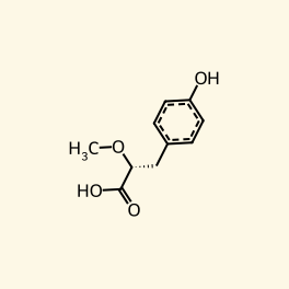 CO[C@H](Cc1ccc(O)cc1)C(=O)O